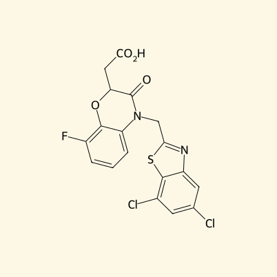 O=C(O)CC1Oc2c(F)cccc2N(Cc2nc3cc(Cl)cc(Cl)c3s2)C1=O